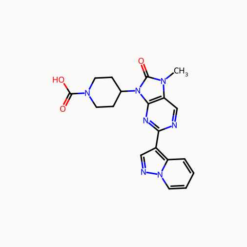 Cn1c(=O)n(C2CCN(C(=O)O)CC2)c2nc(-c3cnn4ccccc34)ncc21